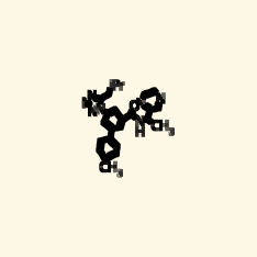 Cc1ccc(-c2cc(C(=O)NC(C)c3cnccn3)cc(-n3nnnc3CC(C)C)c2)cc1